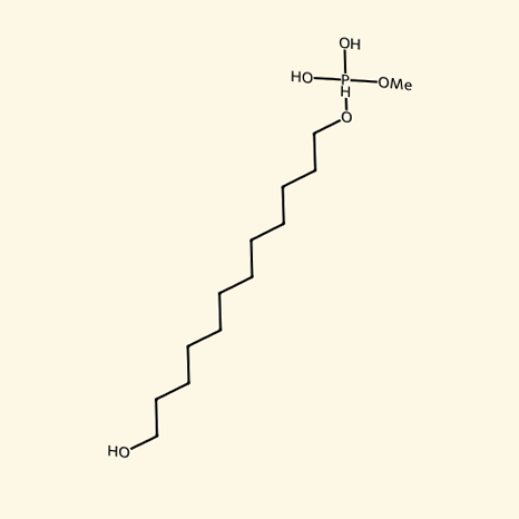 CO[PH](O)(O)OCCCCCCCCCCCCO